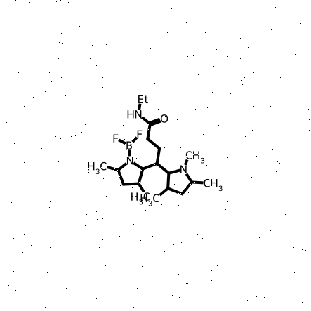 CCNC(=O)CCC(C1C(C)CC(C)N1C)C1C(C)CC(C)N1B(F)F